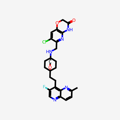 Cc1ccc2ncc(F)c(CCC34CCC(NCc5nc6c(cc5Cl)OCC(=O)N6)(CC3)CO4)c2n1